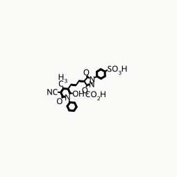 Cc1c(C=CC=C2C(=O)N(c3ccc(S(=O)(=O)O)cc3)N=C2OC(=O)O)c(O)n(-c2ccccc2)c(=O)c1C#N